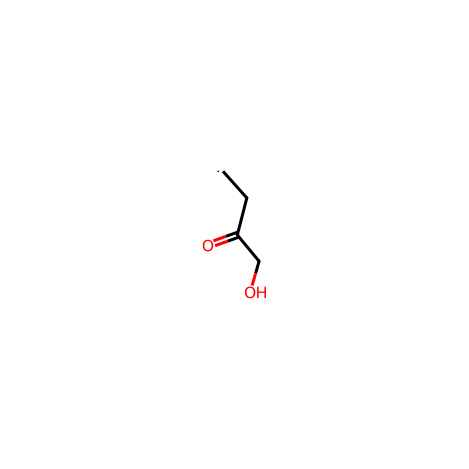 [CH2]CC(=O)CO